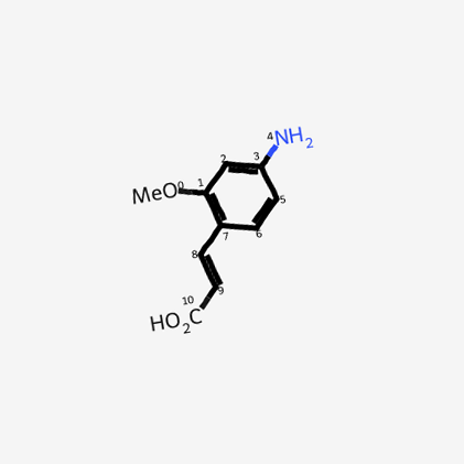 COc1cc(N)ccc1/C=C/C(=O)O